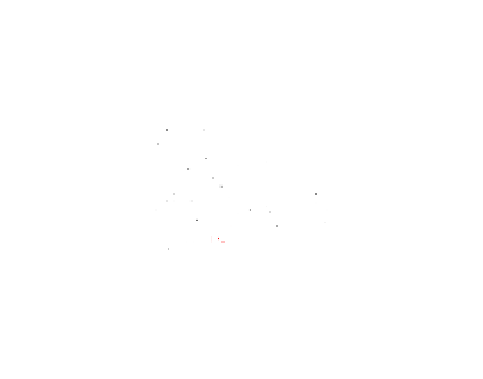 OC1c2ccccc2C=CC1(c1ccccc1)c1ccccc1